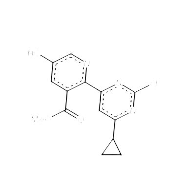 COC(=O)c1cc(C#N)cnc1-c1cc(C2CC2)nc(Cl)n1